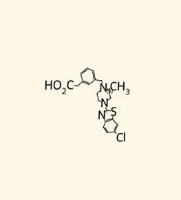 C[C@H]1CN(c2nc3ccc(Cl)cc3s2)CCN1Cc1cccc(CC(=O)O)c1